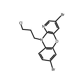 ClCCCN1c2ccc(Br)cc2Oc2cc(Br)cnc21